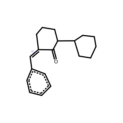 O=C1/C(=C\c2ccccc2)CCCC1C1CCCCC1